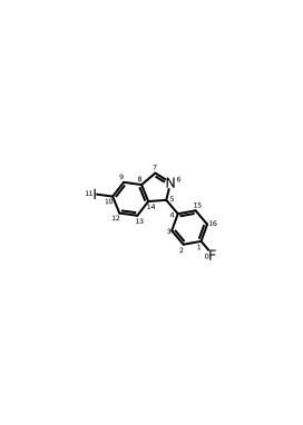 Fc1ccc(C2N=Cc3cc(I)ccc32)cc1